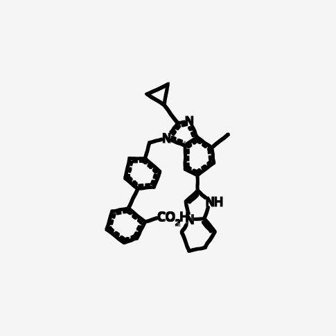 Cc1cc(C2=CN3CCCC=C3N2)cc2c1nc(C1CC1)n2Cc1ccc(-c2ccccc2C(=O)O)cc1